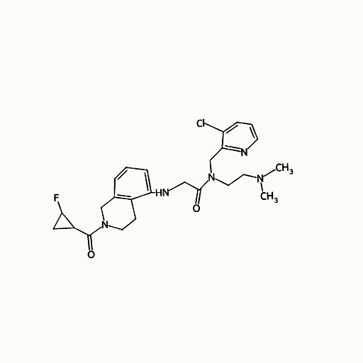 CN(C)CCN(Cc1ncccc1Cl)C(=O)CNc1cccc2c1CCN(C(=O)C1CC1F)C2